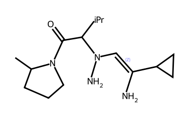 CC(C)C(C(=O)N1CCCC1C)N(N)/C=C(\N)C1CC1